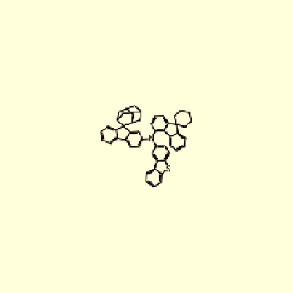 c1ccc2c(c1)-c1c(N(c3ccc4c(c3)C3(c5ccccc5-4)C4CC5CC(C4)CC3C5)c3ccc4sc5ccccc5c4c3)cccc1C21CCCCC1